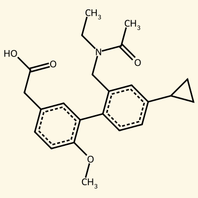 CCN(Cc1cc(C2CC2)ccc1-c1cc(CC(=O)O)ccc1OC)C(C)=O